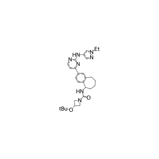 CCn1cc(Nc2nccc(-c3ccc4c(c3)CCCCC4NC(=O)N3CC(OC(C)(C)C)C3)n2)cn1